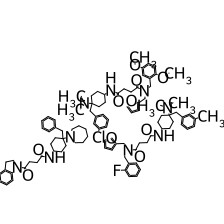 COc1ccc(OC)c(CN(Cc2ccco2)C(=O)CCC(=O)NC2CCC(Cc3cccc(Cl)c3)(N(C)C)CC2)c1.Cc1cccc(CC2(N(C)C)CCC(NC(=O)CCC(=O)N(Cc3ccco3)Cc3ccccc3F)CC2)c1.O=C(CCC(=O)N1CCc2ccccc21)NC1CCC(Cc2ccccc2)(N2CCCCCC2)CC1